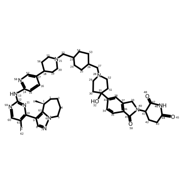 C[C@H]1CCCCn2ncc(-c3nc(Nc4ccc(C5CCN(CC6CCC(CN7CCC(O)(c8ccc9c(c8)CN(C8CCC(=O)NC8=O)C9=O)CC7)CC6)CC5)cn4)ncc3F)c21